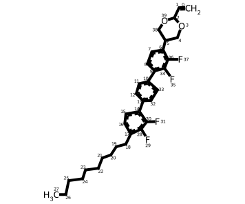 C=CC1OCC(c2ccc(-c3ccc(-c4ccc(CCCCCCCCCC)c(F)c4F)cc3)c(F)c2F)CO1